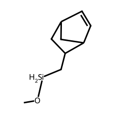 CO[SiH2]CC1CC2C=CC1C2